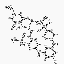 C=CS(=O)(=O)c1ccc(Nc2nc(Cl)nc(Nc3ccc(/N=N/c4cc5c(S(=O)(=O)O)cc(S(=O)(=O)O)cc5cc4S(=O)(=O)O)c(NC(N)=O)c3)n2)cc1